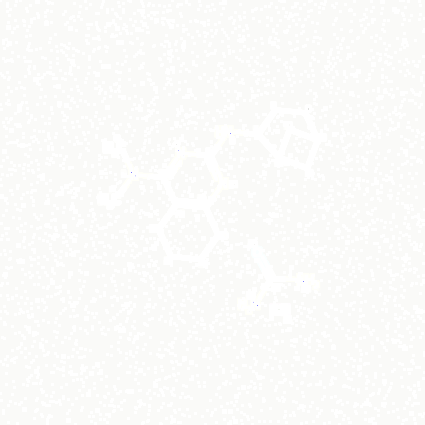 CN(C)c1nc(NC2CCC3CC2C3)nc2c1CCCC2.Cl.NC(N)=O